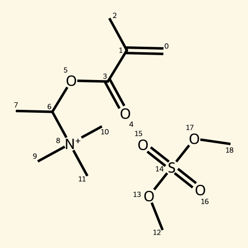 C=C(C)C(=O)OC(C)[N+](C)(C)C.COS(=O)(=O)OC